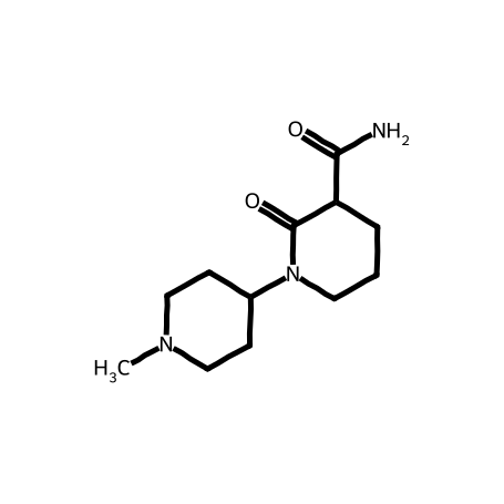 CN1CCC(N2CCCC(C(N)=O)C2=O)CC1